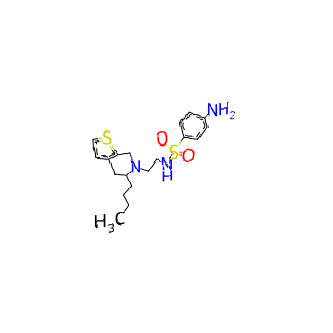 CCCCC1Cc2ccsc2CN1CCNS(=O)(=O)c1ccc(N)cc1